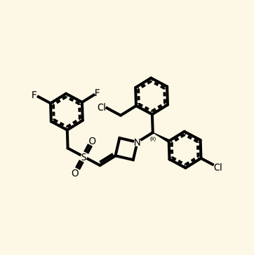 O=S(=O)(C=C1CN([C@H](c2ccc(Cl)cc2)c2ccccc2CCl)C1)Cc1cc(F)cc(F)c1